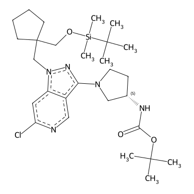 CC(C)(C)OC(=O)N[C@H]1CCN(c2nn(CC3(CO[Si](C)(C)C(C)(C)C)CCCC3)c3cc(Cl)ncc23)C1